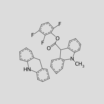 CN1c2ccccc2C(C(=O)Oc2c(F)ccc(F)c2F)c2ccccc21.c1ccc2c(c1)Cc1ccccc1N2